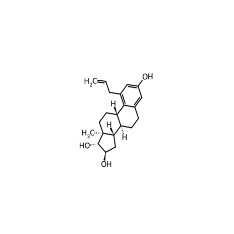 C=CCc1cc(O)cc2c1[C@H]1CC[C@]3(C)[C@@H](O)[C@H](O)C[C@H]3[C@@H]1CC2